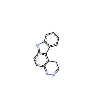 C1=NN=c2ccc3c(c2C1)-c1ccccc1N=3